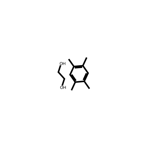 Cc1cc(C)c(C)cc1C.OCCO